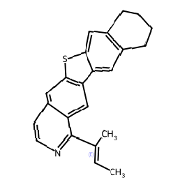 C/C=C(\C)c1nccc2cc3sc4cc5c(cc4c3cc12)CCCC5